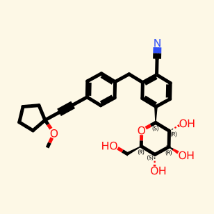 COC1(C#Cc2ccc(Cc3cc([C@@H]4O[C@H](CO)[C@@H](O)[C@H](O)[C@H]4O)ccc3C#N)cc2)CCCC1